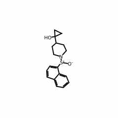 [O-][S+](c1cccc2ccccc12)N1CCC(C2(O)CC2)CC1